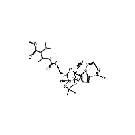 COC(=O)C(C(C)OC(=O)OC[C@H]1O[C@@](C#N)(c2ccc3c(N)ncnn23)[C@@H]2OC(C)(C)O[C@@H]21)N(C)C